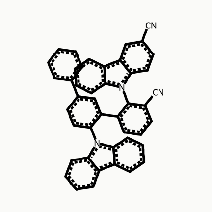 N#Cc1ccc2c(c1)c1ccccc1n2-c1c(C#N)cccc1-c1cc(-c2ccccc2)ccc1-n1c2ccccc2c2ccccc21